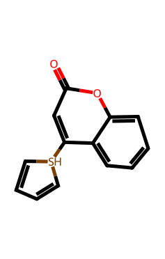 O=c1cc([SH]2C=CC=C2)c2ccccc2o1